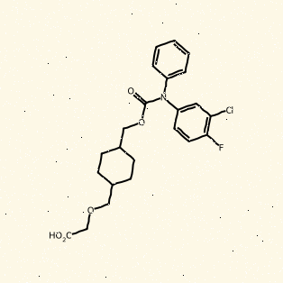 O=C(O)COCC1CCC(COC(=O)N(c2ccccc2)c2ccc(F)c(Cl)c2)CC1